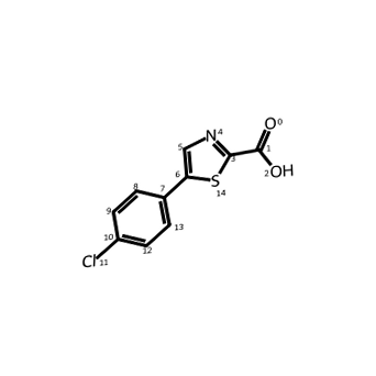 O=C(O)c1ncc(-c2ccc(Cl)cc2)s1